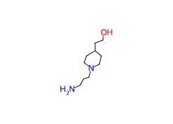 NCCCN1CCC(CCO)CC1